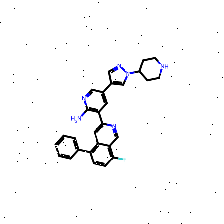 Nc1ncc(-c2cnn(C3CCNCC3)c2)cc1-c1cc2c(-c3ccccc3)ccc(F)c2cn1